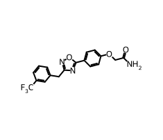 NC(=O)COc1ccc(-c2nc(Cc3cccc(C(F)(F)F)c3)no2)cc1